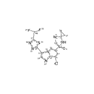 N#CC1(NS(=O)(=O)c2cc(Cl)c3ncc(-c4nnc(C(F)F)s4)n3c2)CC1